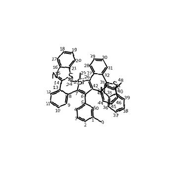 Cc1cccc(C2=C(c3ccccc3-c3nc4ccccc4s3)[Si](C)(C)C(c3ccccc3-c3nc4ccccc4s3)=C2c2cccc(C)c2)c1